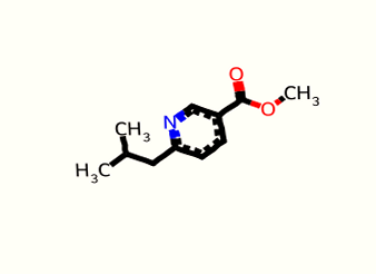 COC(=O)c1ccc(CC(C)C)nc1